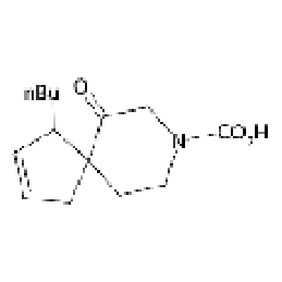 CCCCC1C=CCC12CCN(C(=O)O)CC2=O